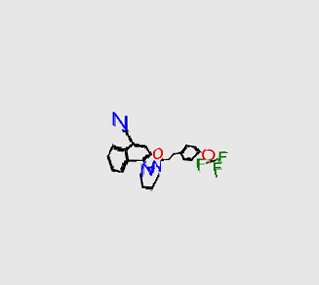 N#Cc1ccc(N2CCCCN2C(=O)CCc2ccc(OC(F)(F)F)cc2)c2ccccc12